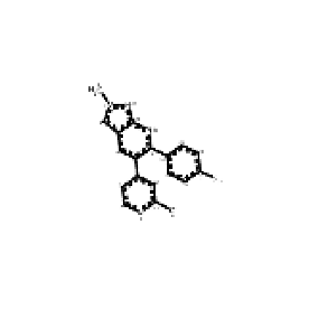 Cn1cc2cc(-c3ccnc(Cl)c3)c(-c3ccc(F)cc3)nc2n1